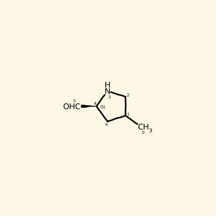 CC1CN[C@H](C=O)C1